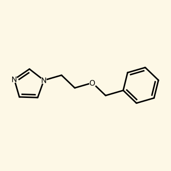 c1ccc(COCCn2ccnc2)cc1